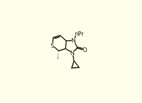 CCCN1C(=O)N(C2CC2)C2C1C=CS[C@H]2C